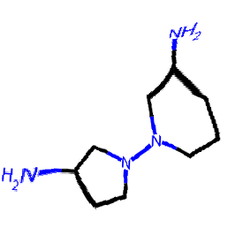 NC1CCCN(N2CCC(N)C2)C1